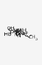 CCCCCCNc1ncnc(NC2CC(O)C(CO)C2)c1NN